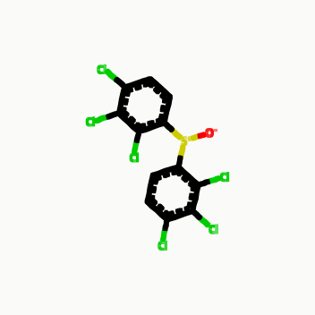 [O-][S+](c1ccc(Cl)c(Cl)c1Cl)c1ccc(Cl)c(Cl)c1Cl